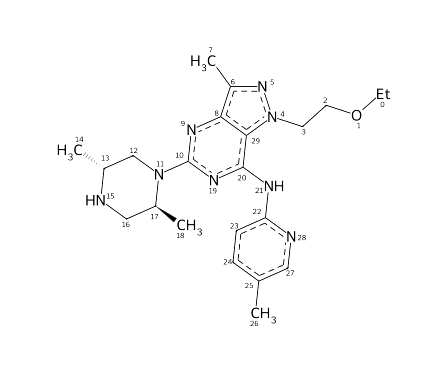 CCOCCn1nc(C)c2nc(N3C[C@@H](C)NC[C@@H]3C)nc(Nc3ccc(C)cn3)c21